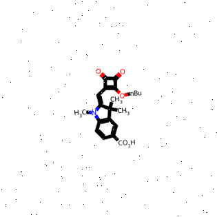 CCCCOc1c(/C=C2/N(C)c3ccc(C(=O)O)cc3C2(C)C)c(=O)c1=O